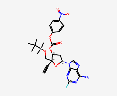 C#C[C@]1(CO[Si](C)(C)C(C)(C)C)O[C@@H](n2cnc3c(N)nc(F)nc32)C[C@@H]1OC(=O)Oc1ccc([N+](=O)[O-])cc1